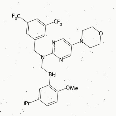 COc1ccc(C(C)C)cc1BCN(Cc1cc(C(F)(F)F)cc(C(F)(F)F)c1)c1ncc(N2CCOCC2)cn1